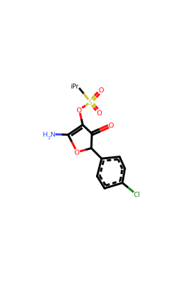 CC(C)S(=O)(=O)OC1=C(N)OC(c2ccc(Cl)cc2)C1=O